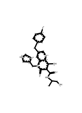 CC(CO)NC(=O)c1c(O)c2ncc(Cc3ccc(F)cc3)cc2n(Cc2c[nH]cn2)c1=O